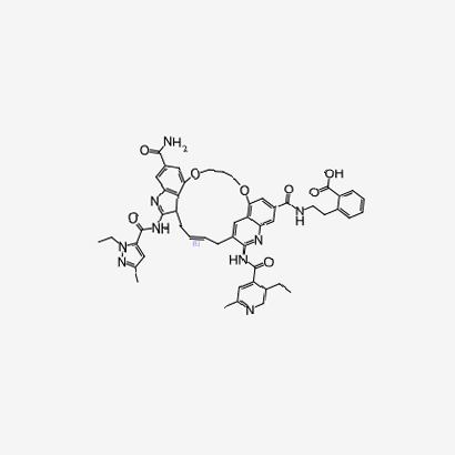 CCC1CN=C(C)C=C1C(=O)Nc1nc2cc(C(=O)NCCc3ccccc3C(=O)O)cc3c2cc1C/C=C/CC1C(NC(=O)c2cc(C)nn2CC)=Nc2cc(C(N)=O)cc(c21)OCCCO3